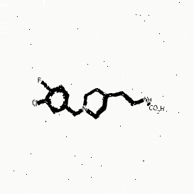 O=C(O)NCCC1CCN(Cc2ccc(F)c(Cl)c2)CC1